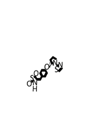 O=C1NC(=Cc2ccc(OC[C@@H]3CCCN3c3nccs3)cc2)C(=O)S1